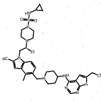 CC[C@@H](Cn1c(C#N)cc2c(C)c(CN3CCC(Nc4ncnc5sc(CC(F)(F)F)cc45)CC3)ccc21)N1CCN(S(=O)(=O)NC2CC2)CC1